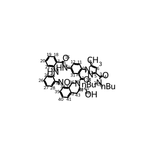 CCCCN(CCCC)C(=O)c1cc(C)n(-c2ccc(NC(=O)c3ccccc3Nc3ccccc3N=O)cc2C(=O)N2Cc3ccccc3C[C@H]2CO)n1